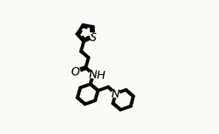 O=C(CCc1cccs1)NC1CCCCC1CN1CCCCC1